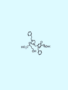 CCC(CCCO)C(=O)O.CCCCCCCCCCOc1cn(Cc2ccccc2)c(CN2CCN(CCc3ccccc3)CC2)cc1=O